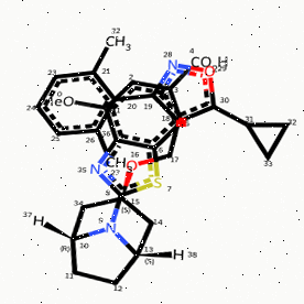 COc1cc(C(=O)O)cc2sc(N3[C@@H]4CC[C@H]3C[C@H](OCc3c(-c5c(C)cccc5C)noc3C3CC3)C4)nc12